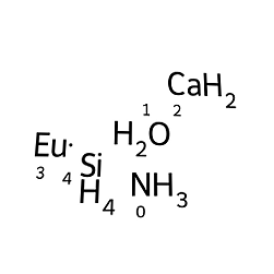 N.O.[CaH2].[Eu].[SiH4]